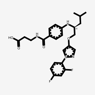 CC(C)C[C@@H](COc1cnn(-c2ccc(F)cc2F)c1)Nc1ccc(C(=O)NCCC(=O)O)cc1